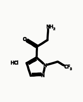 Cl.NCC(=O)c1ccnn1CC(F)(F)F